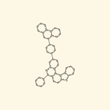 c1ccc(-c2nc3cc(-c4ccc(-c5cc6ccccc6c6ccccc56)cc4)ccc3c3c2ccc2sc4ccccc4c23)cc1